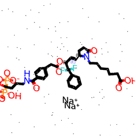 O=C(O)CCCCCCN1C(=O)CC[C@@H]1/C=C/[C@@H](OC(=O)Cc1ccc(C(=O)NCCCC(O)(P(=O)([O-])O)P(=O)([O-])O)cc1)C(F)(F)c1ccccc1.[Na+].[Na+]